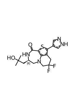 CC(C)(O)C[C@@H]1CN2CC(F)(F)Cc3c(-c4cn[nH]c4)sc(c32)C(=O)N1